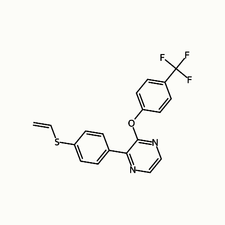 C=CSc1ccc(-c2nccnc2Oc2ccc(C(F)(F)F)cc2)cc1